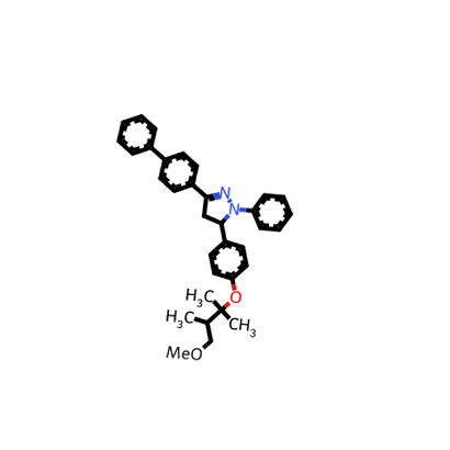 COCC(C)C(C)(C)Oc1ccc(C2CC(c3ccc(-c4ccccc4)cc3)=NN2c2ccccc2)cc1